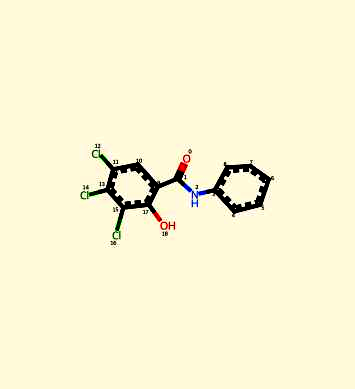 O=C(Nc1ccccc1)c1cc(Cl)c(Cl)c(Cl)c1O